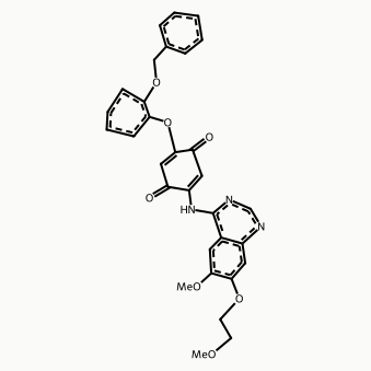 COCCOc1cc2ncnc(NC3=CC(=O)C(Oc4ccccc4OCc4ccccc4)=CC3=O)c2cc1OC